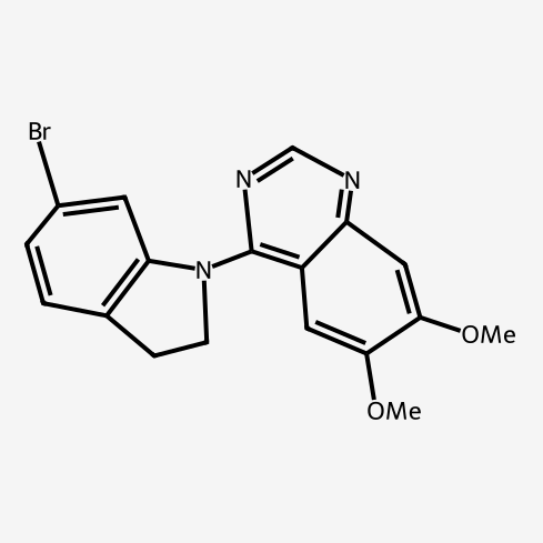 COc1cc2ncnc(N3CCc4ccc(Br)cc43)c2cc1OC